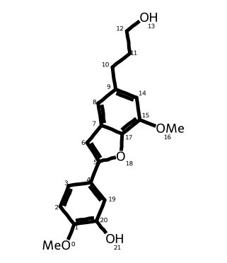 COc1ccc(-c2cc3cc(CCCO)cc(OC)c3o2)cc1O